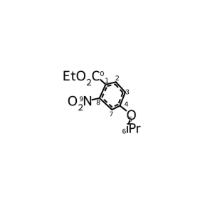 CCOC(=O)c1ccc(OC(C)C)cc1[N+](=O)[O-]